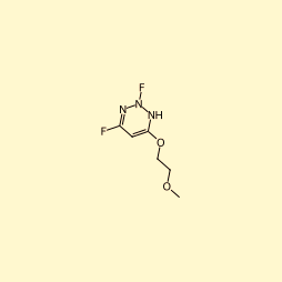 COCCOC1=CC(F)=NN(F)N1